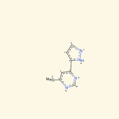 COc1cc(-c2ccn[nH]2)ncn1